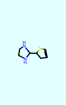 C1=CSC(C2NCCN2)C1